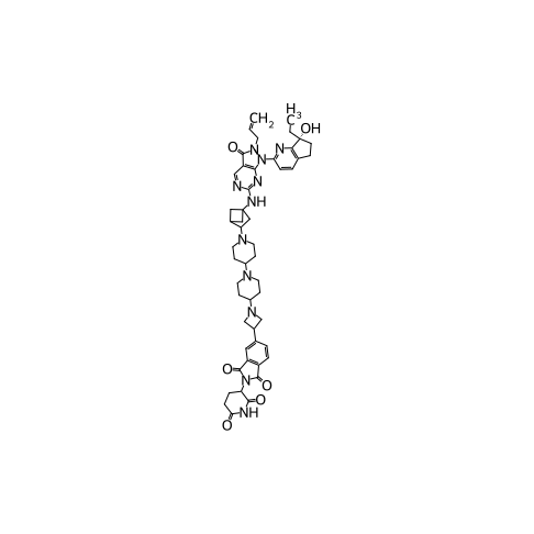 C=CCn1c(=O)c2cnc(NC34CC(C3)C(N3CCC(N5CCC(N6CC(c7ccc8c(c7)C(=O)N(C7CCC(=O)NC7=O)C8=O)C6)CC5)CC3)C4)nc2n1-c1ccc2c(n1)[C@@](O)(CC)CC2